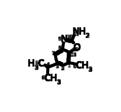 Cc1cc(C(C)C)cc2nc(N)oc12